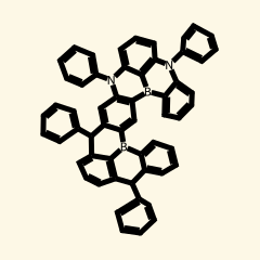 c1ccc(C2c3ccccc3B3c4cc5c(cc4C(c4ccccc4)c4cccc2c43)N(c2ccccc2)c2cccc3c2B5c2ccccc2N3c2ccccc2)cc1